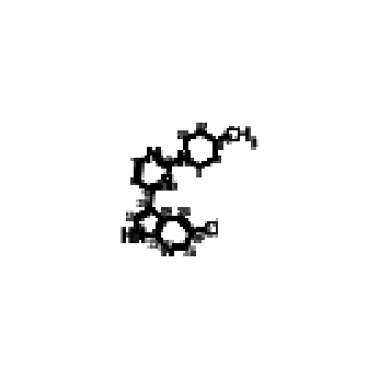 CC1CCN(c2nccc(-c3c[nH]c4ncc(Cl)cc34)n2)CC1